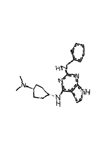 CN(C)[C@H]1CC[C@H](Nc2nc(Nc3ccccc3)nc3[nH]ccc23)CC1